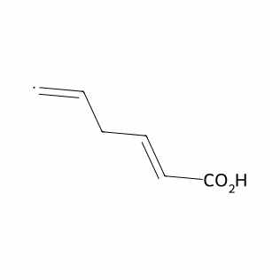 [CH]=CC/C=C/C(=O)O